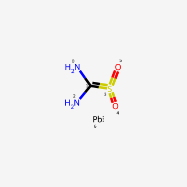 NC(N)=S(=O)=O.[Pb]